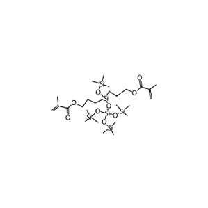 C=C(C)C(=O)OCCC[Si](CCCOC(=O)C(=C)C)(O[Si](C)(C)C)O[Si](O[Si](C)(C)C)(O[Si](C)(C)C)O[Si](C)(C)C